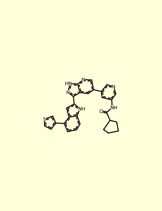 O=C(Nc1cncc(-c2cnc3[nH]nc(-c4cc5c(-c6ccsc6)cccc5[nH]4)c3c2)c1)C1CCCC1